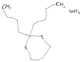 CCCCC1(CCCC)SCCCS1.[SnH4]